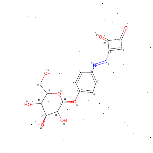 O=c1cc(N=Nc2ccc(O[C@@H]3OC(CO)C(O)[C@H](O)C3O)cc2)c1=O